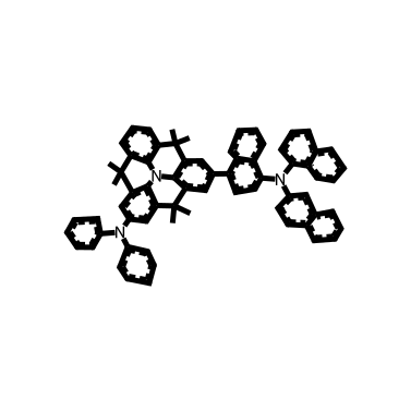 CC1(C)c2cccc3c2N2c4c1cc(-c1ccc(N(c5ccc6ccccc6c5)c5cccc6ccccc56)c5ccccc15)cc4C(C)(C)c1cc(N(c4ccccc4)c4ccccc4)cc(c12)C3(C)C